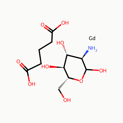 N[C@H]1C(O)O[C@H](CO)[C@@H](O)[C@@H]1O.O=C(O)CCCC(=O)O.[Gd]